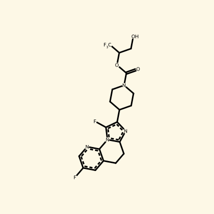 O=C(OC(CO)C(F)(F)F)N1CCC(c2nc3n(c2F)-c2ncc(F)cc2CC3)CC1